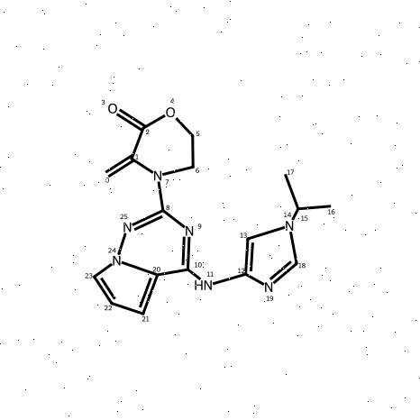 C=C1C(=O)OCCN1c1nc(Nc2cn(C(C)C)cn2)c2cccn2n1